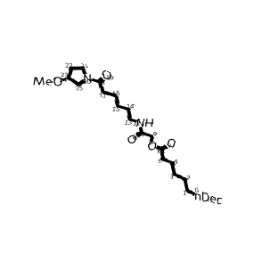 CCCCCCCCCCCCCCCC(=O)OCC(=O)NCCCCCC(=O)N1CC[C@H](OC)C1